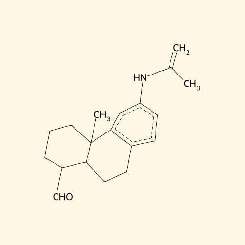 C=C(C)Nc1ccc2c(c1)C1(C)CCCC(C=O)C1CC2